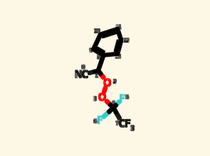 N#CC(OOC(F)(F)C(F)(F)F)c1ccccc1